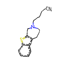 N#CCCCN1CCc2c(sc3ccccc23)C1